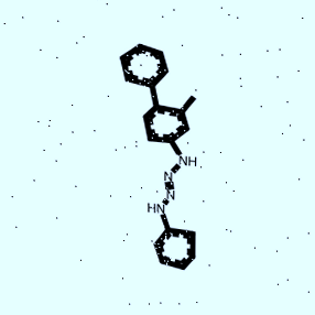 Cc1cc(NN=NNc2ccccc2)ccc1-c1ccccc1